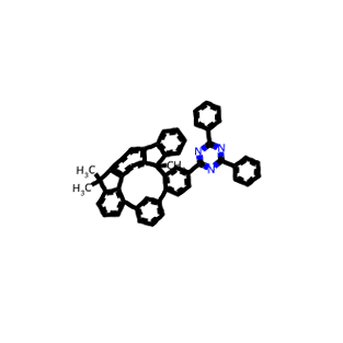 CC1(C)c2cc3c4cc2-c2c(cccc21)-c1cccc(c1)-c1ccc(-c2nc(-c5ccccc5)nc(-c5ccccc5)n2)cc1C4(C)c1ccccc1-3